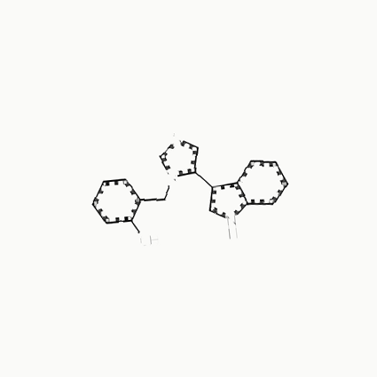 Cc1ccccc1Cn1cncc1-c1c[nH]c2ccccc12